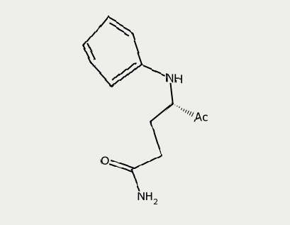 CC(=O)[C@H](CCC(N)=O)Nc1ccccc1